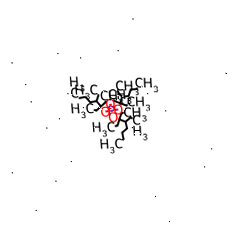 CCCCC(CC)C(CC)(CC)OP(=O)(OC(CC)(CC)C(CC)CCCC)OC(CC)(CC)C(CC)CCCC